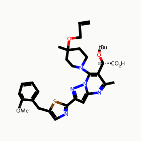 C=CCOC1(C)CCN(c2c([C@H](OC(C)(C)C)C(=O)O)c(C)nc3cc(-c4ncc(Cc5ccccc5OC)s4)nn23)CC1